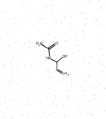 C=CC(O)NC(N)=O